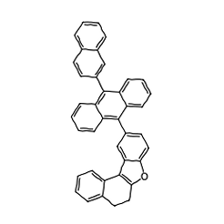 c1ccc2c(c1)CCc1oc3ccc(-c4c5ccccc5c(-c5ccc6ccccc6c5)c5ccccc45)cc3c1-2